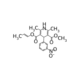 CC=COC(=O)C1=C(C)NC(C)=C(C(=O)OC)C1c1cccc([N+](=O)[O-])c1